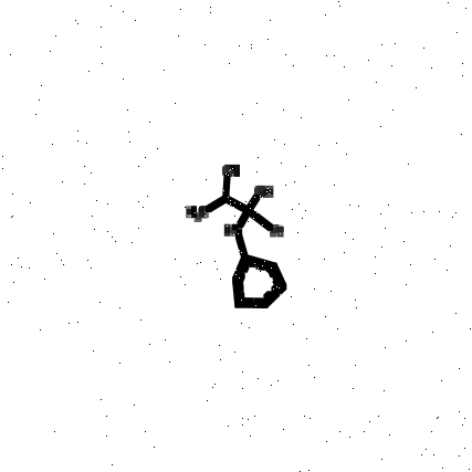 CCC(O)(Nc1ccccc1)C(C)C#N